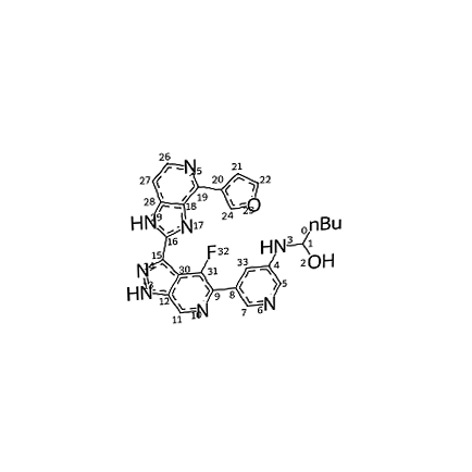 CCCCC(O)Nc1cncc(-c2ncc3[nH]nc(-c4nc5c(-c6ccoc6)nccc5[nH]4)c3c2F)c1